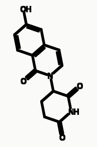 O=C1CCC(n2ccc3cc(O)ccc3c2=O)C(=O)N1